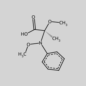 CON(c1ccccc1)[C@](C)(OC)C(=O)O